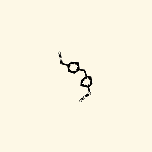 O=C=Cc1ccc(Cc2ccc(N=C=O)cc2)cc1